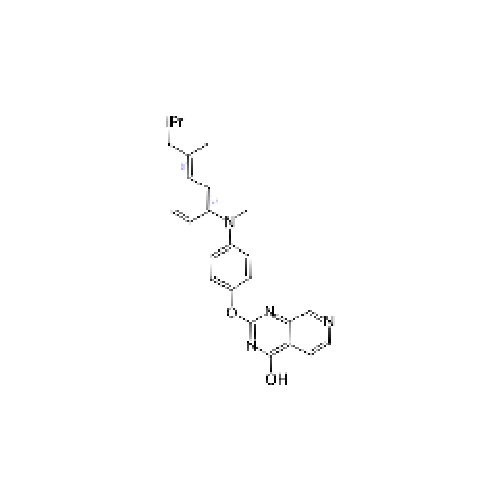 C=C/C(=C\C=C(/C)CC(C)C)N(C)c1ccc(Oc2nc(O)c3ccncc3n2)cc1